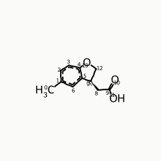 Cc1ccc2c(c1)[C@H](CC(=O)O)CO2